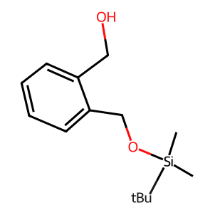 CC(C)(C)[Si](C)(C)OCc1ccccc1CO